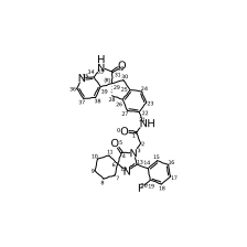 O=C(CN1C(=O)C2(CCCCC2)N=C1c1ccccc1F)Nc1ccc2c(c1)C[C@@]1(C2)C(=O)Nc2ncccc21